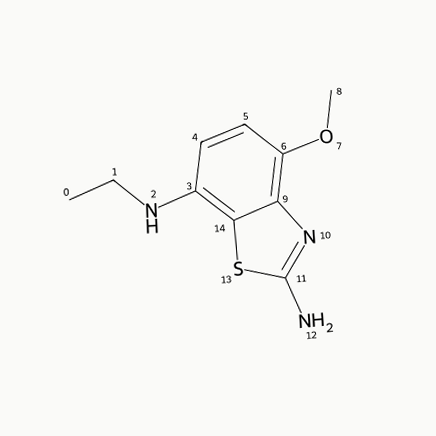 CCNc1ccc(OC)c2nc(N)sc12